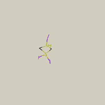 I[SH]1CS(I)(I)C1